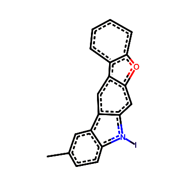 Cc1ccc2c(c1)c1cc3c(cc1n2I)oc1ccccc13